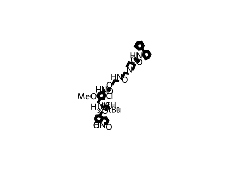 COc1cc(NC(=O)OCCCNC(=O)CCN2CCC(OC(=O)Nc3ccccc3-c3ccccc3)CC2)c(Cl)cc1CNC[C@H](O[Si](C)(C)C(C)(C)C)c1ccc(O)c2[nH]c(=O)ccc12